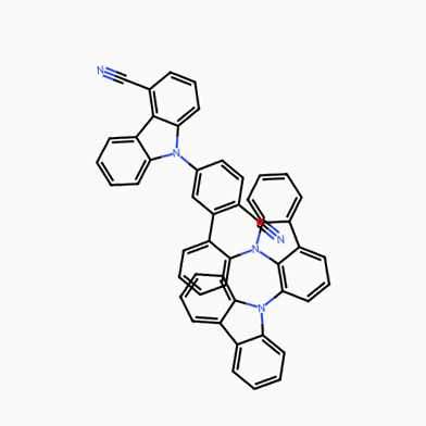 N#Cc1ccc(-n2c3ccccc3c3c(C#N)cccc32)cc1-c1ccccc1-n1c2ccccc2c2cccc(-n3c4ccccc4c4ccccc43)c21